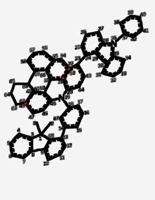 CC1(C)c2ccccc2-c2cccc(-c3cccc(N(c4ccc(-c5cccc6c5c5ccccc5n6-c5ccccc5)cc4)c4ccccc4-c4cccc5cccc(C6CCCCC6)c45)c3)c21